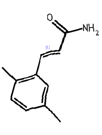 Cc1ccc(C)c(/C=C/C(N)=O)c1